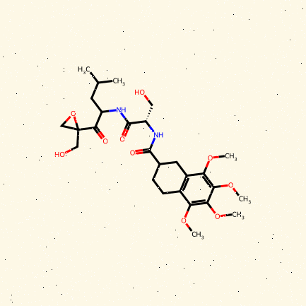 COc1c2c(c(OC)c(OC)c1OC)CC(C(=O)N[C@@H](CO)C(=O)NC(CC(C)C)C(=O)C1(CO)CO1)CC2